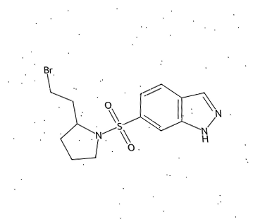 O=S(=O)(c1ccc2cn[nH]c2c1)N1CCCC1CCBr